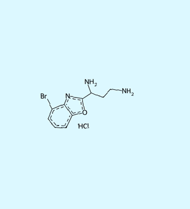 Cl.NCCC(N)c1nc2c(Br)cccc2o1